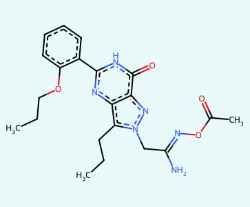 CCCOc1ccccc1-c1nc2c(CCC)n(CC(N)=NOC(C)=O)nc2c(=O)[nH]1